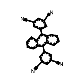 N#Cc1cc(C#N)cc(-c2c3ccccc3c(-c3cc(C#N)cc(C#N)c3)c3ccccc23)c1